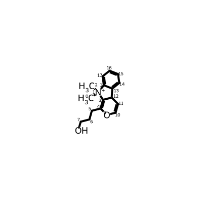 C[N+]1(C)C2=C(CCCO)OC=CC2c2ccccc21